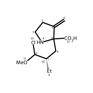 C=C1CCNC1(C[C@H](CC)C(Cl)OC)C(=O)O